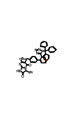 CCCCc1nc2n(c(=O)c1Cc1ccc(-c3ccccc3-c3nnnn3C(c3ccccc3)(c3ccccc3)c3ccccc3)cc1)C(C(C)C)C(=O)N2